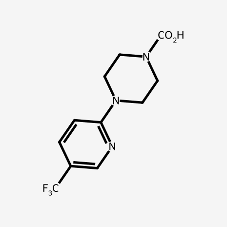 O=C(O)N1CCN(c2ccc(C(F)(F)F)cn2)CC1